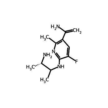 C=C(N)c1cc(F)c(NC(C)[C@H](C)N)nc1C